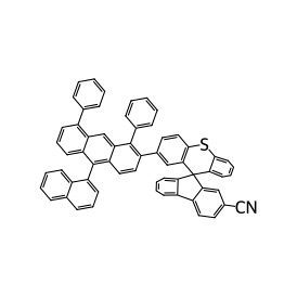 N#Cc1ccc2c(c1)C1(c3ccccc3Sc3ccc(-c4ccc5c(-c6cccc7ccccc67)c6cccc(-c7ccccc7)c6cc5c4-c4ccccc4)cc31)c1ccccc1-2